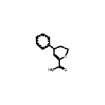 O=C(O)C1=CC(c2ccccc2)CCO1